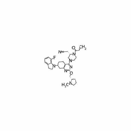 C=CC(=O)N1CCN(c2nc(OC[C@@H]3CCCN3C)nc3c2CCC(N2CCc4cccc(F)c42)C3)C[C@@H]1CC#N